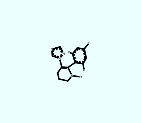 CCN1CCCC(n2cncn2)=C1c1c(F)cc(F)cc1F